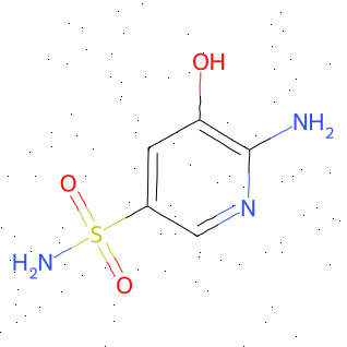 Nc1ncc(S(N)(=O)=O)cc1O